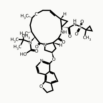 C[C@@H]1CC/C=C\[C@@H]2C[C@@]2(C(=O)NS(=O)(=O)C2(C)CC2)NC(=O)[C@@H]2C[C@@H](Oc3nccc4c5c(ccc34)CCO5)CN2C(=O)[C@@H](N(C(=O)O)C(C)(C)C)[C@H](C)C1